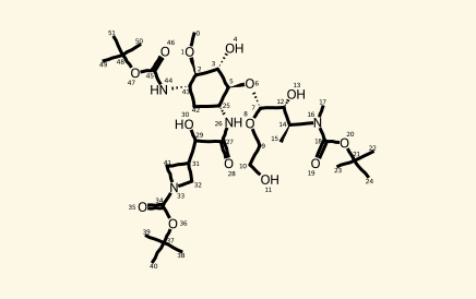 CO[C@H]1[C@H](O)[C@@H](O[C@@H](OCCO)[C@H](O)[C@H](C)N(C)C(=O)OC(C)(C)C)[C@H](NC(=O)C(O)C2CN(C(=O)OC(C)(C)C)C2)C[C@@H]1NC(=O)OC(C)(C)C